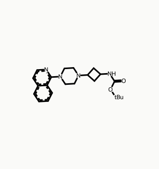 CC(C)(C)OC(=O)NC1CC(N2CCN(c3nccc4ccccc34)CC2)C1